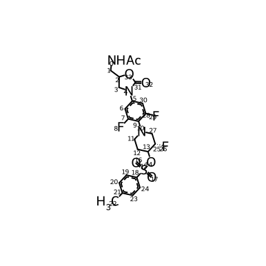 CC(=O)NCC1CN(c2cc(F)c(N3CCC(OS(=O)(=O)c4ccc(C)cc4)[C@@H](F)C3)c(F)c2)C(=O)O1